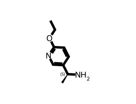 CCOc1ccc([C@H](C)N)cn1